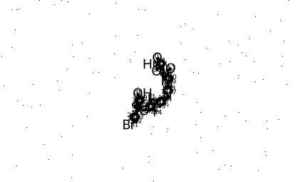 O=C1CCC(N2Cc3nc(N4CCN(CC5CCN(c6c(F)cc(Oc7c(-c8ccc(Br)cc8)sc8cc(O)ccc78)cc6F)CC5)CC4)ccc3C2=O)C(=O)N1